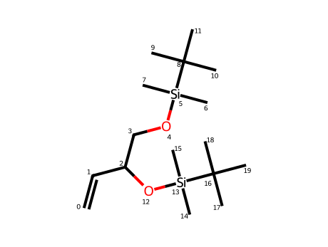 C=CC(CO[Si](C)(C)C(C)(C)C)O[Si](C)(C)C(C)(C)C